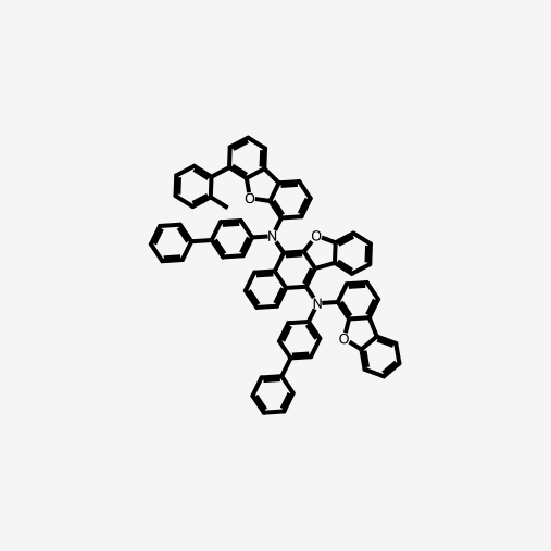 Cc1ccccc1-c1cccc2c1oc1c(N(c3ccc(-c4ccccc4)cc3)c3c4ccccc4c(N(c4ccc(-c5ccccc5)cc4)c4cccc5c4oc4ccccc45)c4c3oc3ccccc34)cccc12